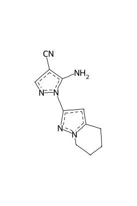 N#Cc1cnn(-c2cc3n(n2)CCCC3)c1N